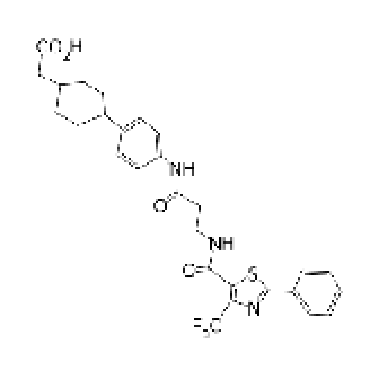 O=C(O)CC1CCC(c2ccc(NC(=O)CCNC(=O)c3sc(-c4ccccc4)nc3C(F)(F)F)cc2)CC1